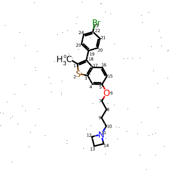 Cc1sc2cc(OCCCCN3CCC3)ccc2c1-c1ccc(Br)cc1